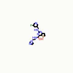 OC(NCCn1ccnc1)c1nc(NCc2cncc(F)c2)nc2ccsc12